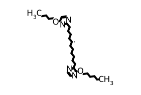 CCCCCCOc1nccnc1CCCCCC[CH]CCCCc1nccc(OCCCCC)n1